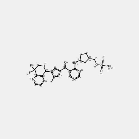 Cc1sc(C(=O)c2cncnc2N[C@H]2CC[C@@H](COS(N)(=O)=O)C2)cc1C1OCC(F)(F)c2ncccc21